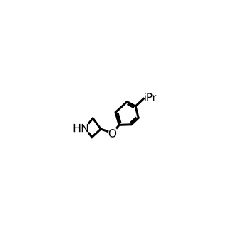 CC(C)c1ccc(OC2CNC2)cc1